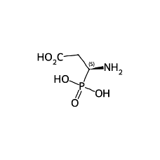 N[C@H](CC(=O)O)P(=O)(O)O